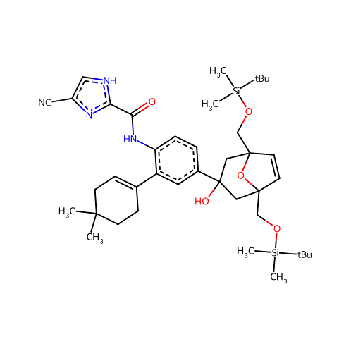 CC1(C)CC=C(c2cc(C3(O)CC4(CO[Si](C)(C)C(C)(C)C)C=CC(CO[Si](C)(C)C(C)(C)C)(C3)O4)ccc2NC(=O)c2nc(C#N)c[nH]2)CC1